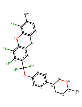 CCCc1ccc2c(c1F)Oc1c(cc(C(F)(F)Oc3ccc(C4CCC(CCC)OC4)cc3)c(F)c1F)C2